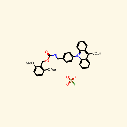 COc1cccc(OC)c1COC(=O)NCc1ccc(-[n+]2c3ccccc3c(C(=O)O)c3ccccc32)cc1.O=S(=O)([O-])F